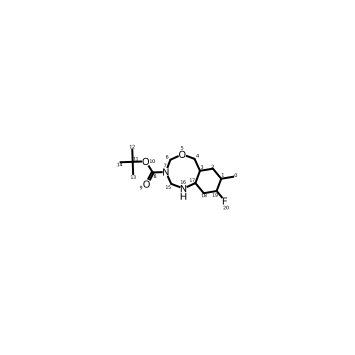 CC1CC2COCN(C(=O)OC(C)(C)C)CNC2CC1F